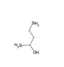 OC([SiH3])CC[SiH3]